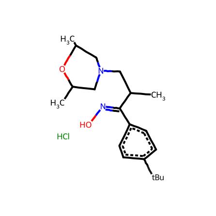 CC1CN(CC(C)C(=NO)c2ccc(C(C)(C)C)cc2)CC(C)O1.Cl